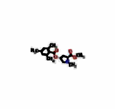 COC(=O)[C@@H]1C[C@@H](OC(=O)c2c(C)cc(C)cc2C)CN1C